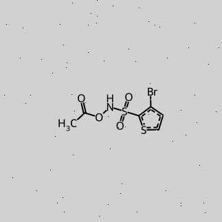 CC(=O)ONS(=O)(=O)c1sccc1Br